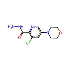 NNC(=O)c1ncc(N2CCOCC2)cc1Cl